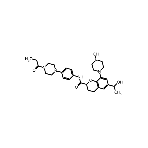 CCC(=O)N1CCN(c2ccc(NC(=O)C3CCc4cc(C(C)O)cc(N5CCN(C)CC5)c4O3)cc2)CC1